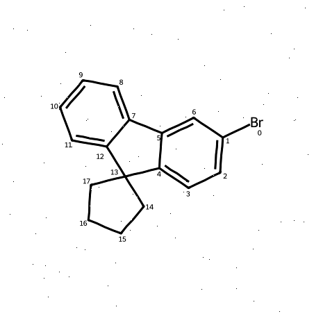 Brc1ccc2c(c1)-c1ccccc1C21CCCC1